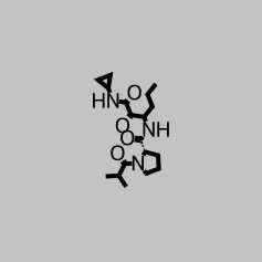 CCCC(NC(=O)[C@@H]1CCCN1C(=O)C(C)C)C(=O)C(=O)NC1CC1